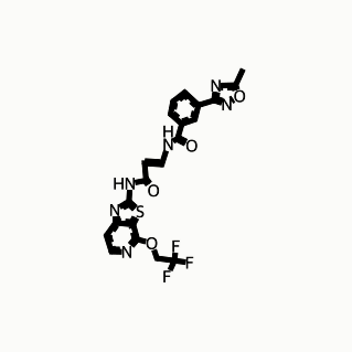 Cc1nc(-c2cccc(C(=O)NC=CC(=O)Nc3nc4ccnc(OCC(F)(F)F)c4s3)c2)no1